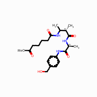 COC(=O)CCCCC(=O)NC(C)[C@H](C)C(=O)N[C@@H](C)C(=O)Nc1ccc(CO)cc1